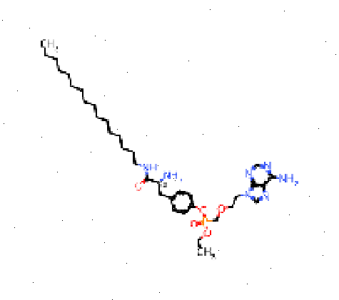 CCCCCCCCCCCCCCCCNC(=O)[C@@H](N)Cc1ccc(OP(=O)(COCCn2cnc3c(N)ncnc32)OCC)cc1